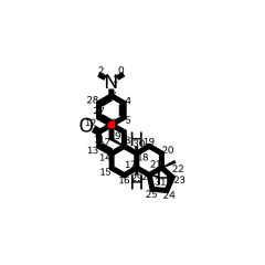 CN(C)c1ccc(C[C@]23CCC(=O)C=C2CC[C@@H]2[C@H]3CC[C@]3(C)CCC[C@@H]23)cc1